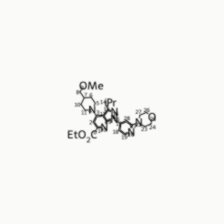 CCOC(=O)c1cc(N2CCC(COC)CC2)c2c(C(C)C)nn(-c3ccnc(N4CCOCC4)c3)c2n1